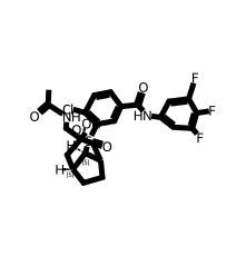 CC(=O)NC[C@@]1(O)CC2CC[C@@H](C1)[C@H]2S(=O)(=O)c1cc(C(=O)Nc2cc(F)c(F)c(F)c2)ccc1Cl